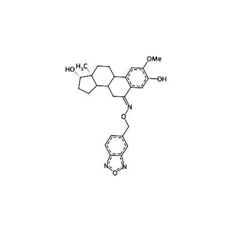 COc1cc2c(cc1O)/C(=N/OCc1ccc3nonc3c1)CC1C2CC[C@@]2(C)C1CC[C@@H]2O